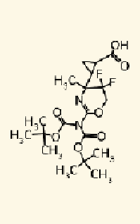 CC(C)(C)OC(=O)N(C(=O)OC(C)(C)C)C1=NC(C)(C2CC2C(=O)O)C(F)(F)CO1